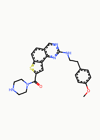 COc1ccc(CCNc2ncc3ccc4sc(C(=O)N5CCNCC5)cc4c3n2)cc1